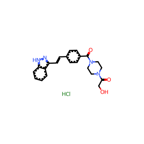 Cl.O=C(CO)N1CCN(C(=O)c2ccc(C=Cc3n[nH]c4ccccc34)cc2)CC1